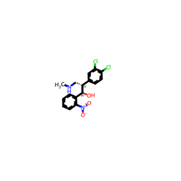 CNC[C@H](c1ccc(Cl)c(Cl)c1)[C@@H](O)c1ccccc1[N+](=O)[O-]